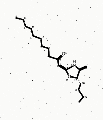 C=C1N/C(=C\C(=O)CCCCCCCCC)O[C@H]1CCCC